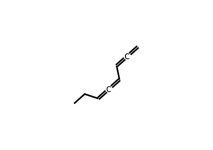 C=C=CC=C=CCC